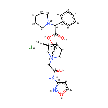 O=C(C[N+]12CCC(CC1)[C@@H](OC(=O)C(c1ccccc1)N1CCCCC1)C2)Nc1ccon1.[Cl-]